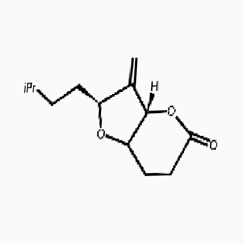 C=C1[C@H](CCC(C)C)OC2CCC(=O)O[C@@H]12